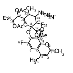 C=C1C=C(C)c2cc(F)c(OC3(C(=O)OC)OC([C@H](OC(C)=O)[C@@H](CC)OC(C)=O)C(C)C(N=[N+]=[N-])C3F)c(F)c2O1